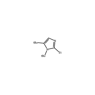 CCc1ncc(C(C)(C)C)n1C(C)(C)C